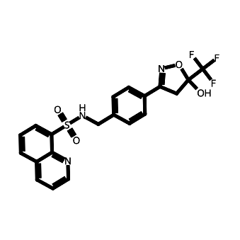 O=S(=O)(NCc1ccc(C2=NOC(O)(C(F)(F)F)C2)cc1)c1cccc2cccnc12